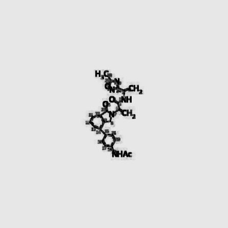 C=C(NC(=O)C(=C)N1Cc2c(cccc2-c2ccc(NC(C)=O)cc2)C1=O)c1noc(C)n1